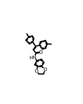 Cc1ccc(C(=CC(=O)Nc2ccc3c(c2)OCCO3)c2ccc(C)cc2)cc1